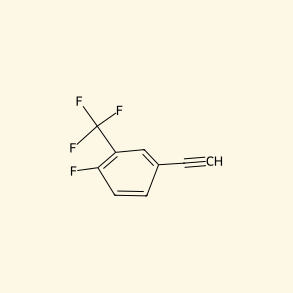 C#Cc1ccc(F)c(C(F)(F)F)c1